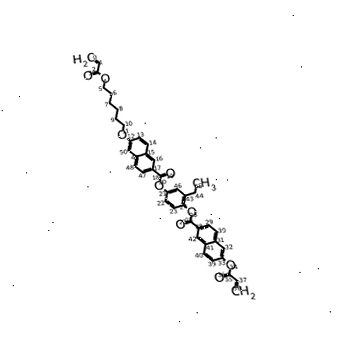 C=CC(=O)OCCCCCCOc1ccc2cc(C(=O)Oc3ccc(OC(=O)c4ccc5cc(OC(=O)C=C)ccc5c4)c(CC)c3)ccc2c1